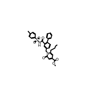 CCCCc1cc(C(=O)OC)cc(=O)n1Cc1ccc(-c2ccccc2)c(C(=O)NS(=O)(=O)c2ccc(C)cc2)c1